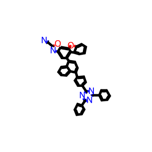 N#Cc1nc2cc(-c3ccc(-c4ccc(-c5nc(-c6ccccc6)nc(-c6ccccc6)n5)cc4)c4ccccc34)c3c4ccccc4oc3c2o1